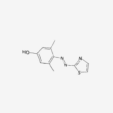 Cc1cc(O)cc(C)c1/N=N/c1nccs1